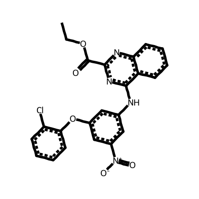 CCOC(=O)c1nc(Nc2cc(Oc3ccccc3Cl)cc([N+](=O)[O-])c2)c2ccccc2n1